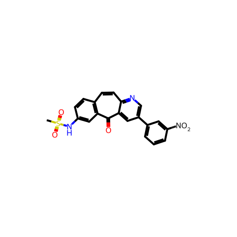 CS(=O)(=O)Nc1ccc2ccc3ncc(-c4cccc([N+](=O)[O-])c4)cc3c(=O)c2c1